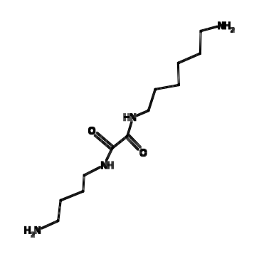 NCCCCCCNC(=O)C(=O)NCCCCN